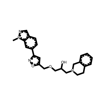 Cn1ncc2ccc(-c3cc(COCC(O)CN4CCc5ccccc5C4)on3)cc21